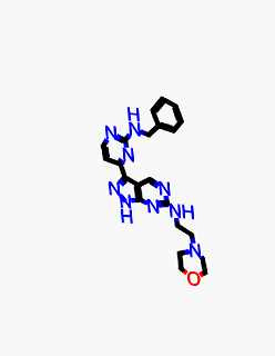 c1ccc(CNc2nccc(-c3n[nH]c4nc(NCCN5CCOCC5)ncc34)n2)cc1